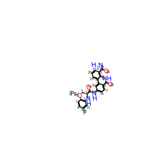 CC(C)OC[C@H](Nc1cccc(F)c1)C(=O)Nc1ccc2c(=O)[nH]c3c(C(N)=O)cccc3c2c1